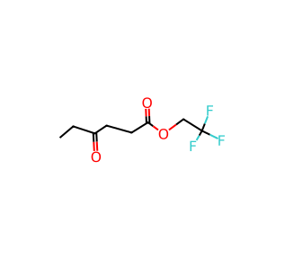 CCC(=O)CCC(=O)OCC(F)(F)F